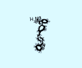 NS(=O)(=O)c1cn(C2CCC(CCN3CCN(c4nsc5ccccc45)CC3)CC2)c2ccccc12